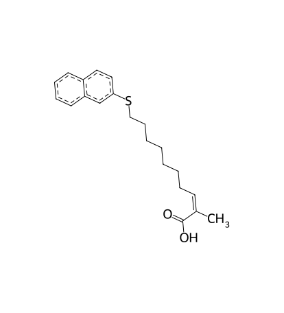 CC(=CCCCCCCCSc1ccc2ccccc2c1)C(=O)O